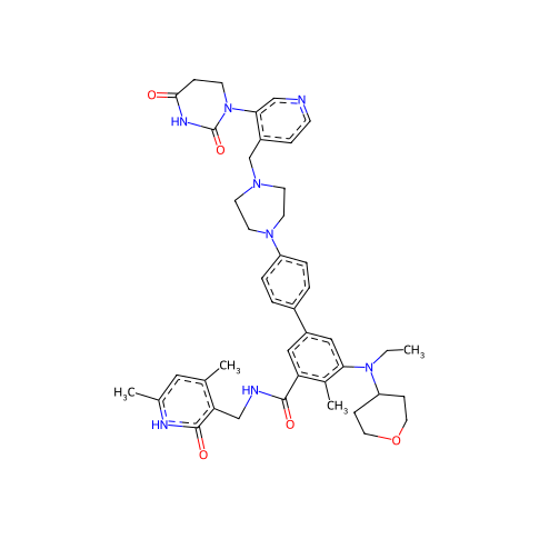 CCN(c1cc(-c2ccc(N3CCN(Cc4ccncc4N4CCC(=O)NC4=O)CC3)cc2)cc(C(=O)NCc2c(C)cc(C)[nH]c2=O)c1C)C1CCOCC1